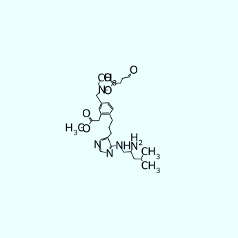 CCN(Cc1ccc(CCCc2cncnc2NCC(N)CC(C)C)c(CC(=O)OC)c1)OC(=O)CCC=O